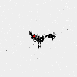 N#CC12CC(C1)[C@H](C(=O)Nc1c[nH]c3ccc(OCCc4ccc(C(F)(F)F)cc4)cc13)C2